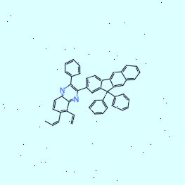 C=Cc1c(/C=C\C)ccc2nc(-c3ccccc3)c(-c3ccc4c(c3)C(c3ccccc3)(c3ccccc3)c3cc5ccccc5cc3-4)nc12